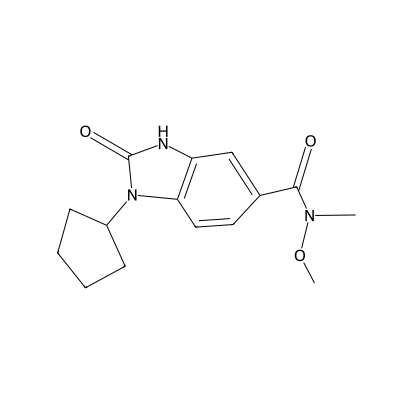 CON(C)C(=O)c1ccc2c(c1)[nH]c(=O)n2C1CCCC1